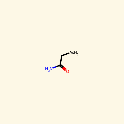 NC(=O)C[AsH2]